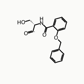 O=[C][C@H](CO)NC(=O)c1ccccc1OCc1ccccc1